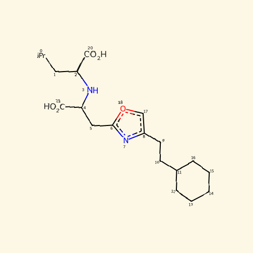 CC(C)CC(NC(Cc1nc(CCC2CCCCC2)co1)C(=O)O)C(=O)O